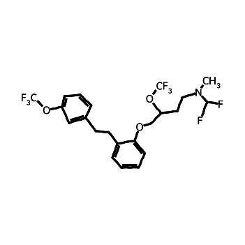 CN(CCC(COc1ccccc1CCc1cccc(OC(F)(F)F)c1)OC(F)(F)F)C(F)F